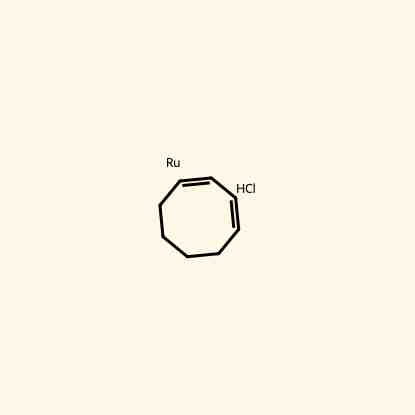 C1=C\CCCC\C=C/1.Cl.[Ru]